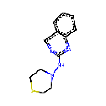 c1ccc2nc(NN3CCSCC3)ncc2c1